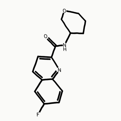 O=C(NC1CCCOC1)c1ccc2cc(F)ccc2n1